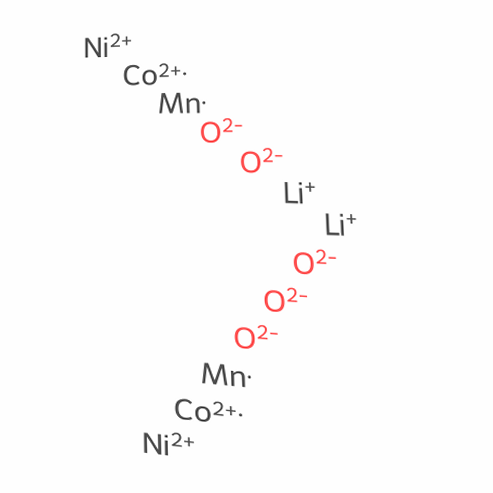 [Co+2].[Co+2].[Li+].[Li+].[Mn].[Mn].[Ni+2].[Ni+2].[O-2].[O-2].[O-2].[O-2].[O-2]